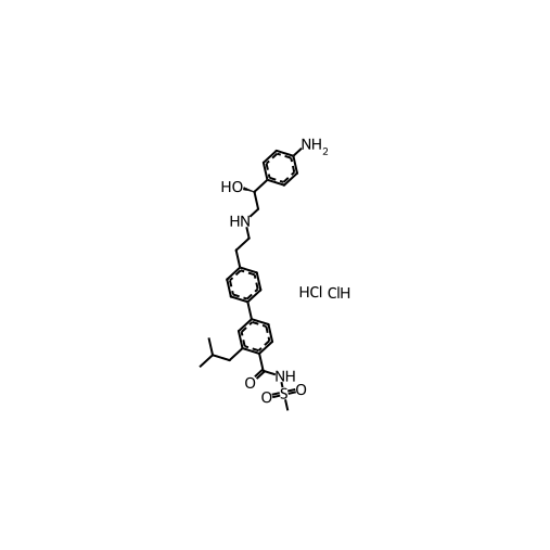 CC(C)Cc1cc(-c2ccc(CCNC[C@@H](O)c3ccc(N)cc3)cc2)ccc1C(=O)NS(C)(=O)=O.Cl.Cl